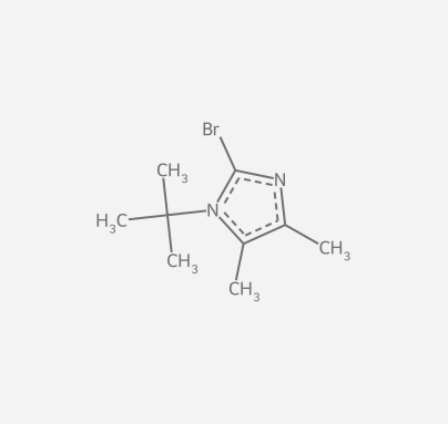 Cc1nc(Br)n(C(C)(C)C)c1C